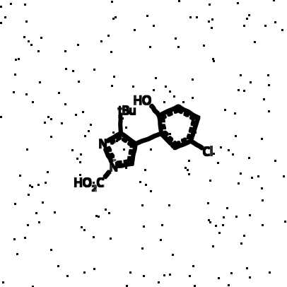 CC(C)(C)c1nn(C(=O)O)cc1-c1cc(Cl)ccc1O